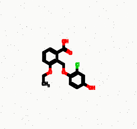 CCOc1cccc(C(=O)O)c1COc1ccc(O)cc1Cl